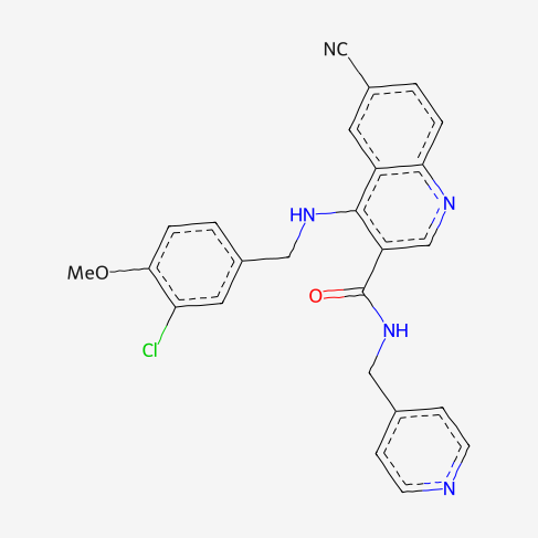 COc1ccc(CNc2c(C(=O)NCc3ccncc3)cnc3ccc(C#N)cc23)cc1Cl